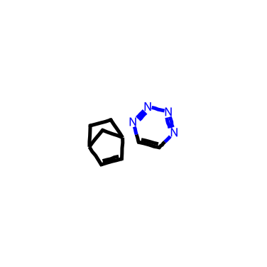 C1=CC2CCC1C2.c1cnnnn1